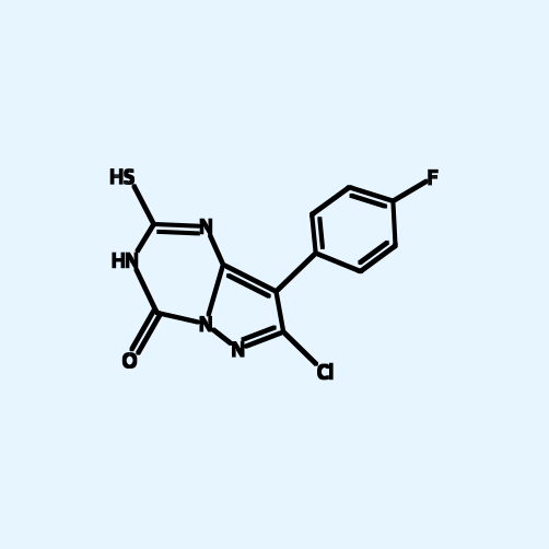 O=c1[nH]c(S)nc2c(-c3ccc(F)cc3)c(Cl)nn12